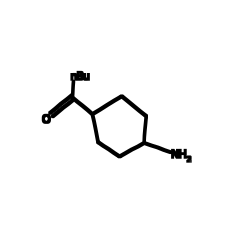 CCCCC(=O)C1CCC(N)CC1